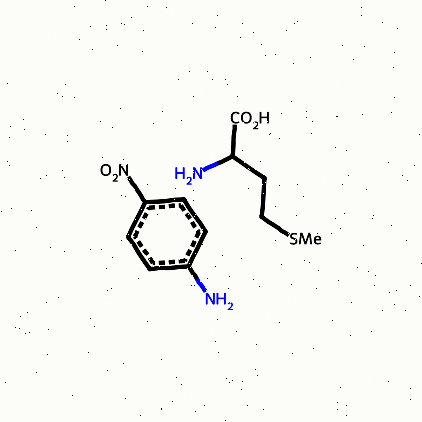 CSCCC(N)C(=O)O.Nc1ccc([N+](=O)[O-])cc1